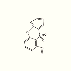 C=Cc1cccc2c1S(=O)(=O)c1ccccc1O2